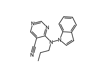 CCCN(c1ncncc1C#N)n1ccc2ccccc21